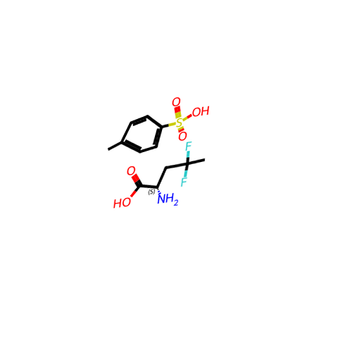 CC(F)(F)C[C@H](N)C(=O)O.Cc1ccc(S(=O)(=O)O)cc1